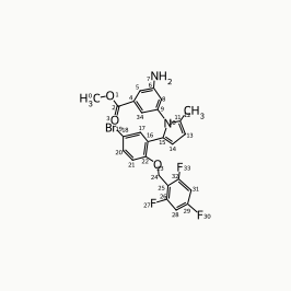 COC(=O)c1cc(N)cc(-n2c(C)ccc2-c2cc(Br)ccc2OCc2c(F)cc(F)cc2F)c1